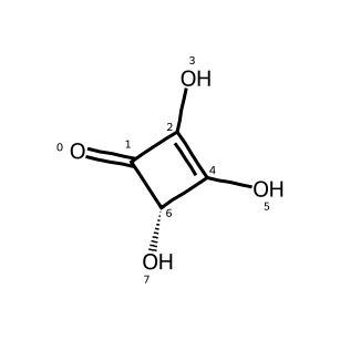 O=C1C(O)=C(O)[C@@H]1O